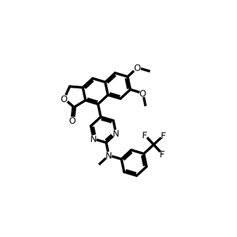 COc1cc2cc3c(c(-c4cnc(N(C)c5cccc(C(F)(F)F)c5)nc4)c2cc1OC)C(=O)OC3